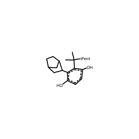 CCCCCC(C)(C)c1c(O)ccc(O)c1C1CC2CCC1C2